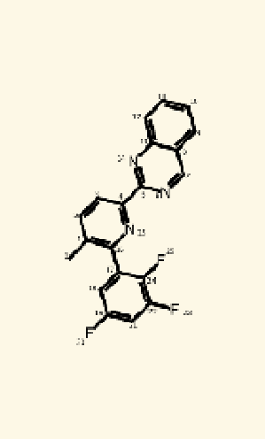 Cc1ccc(-c2ncc3ccccc3n2)nc1-c1cc(F)cc(F)c1F